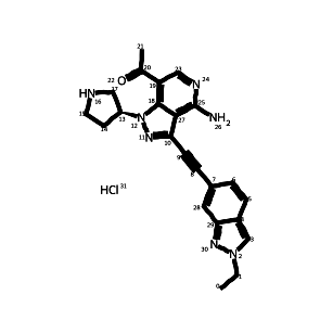 CCn1cc2ccc(C#Cc3nn([C@H]4CCNC4)c4c(C(C)=O)cnc(N)c34)cc2n1.Cl